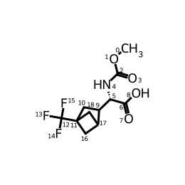 COC(=O)N[C@H](C(=O)O)C1CC2(C(F)(F)F)CC1C2